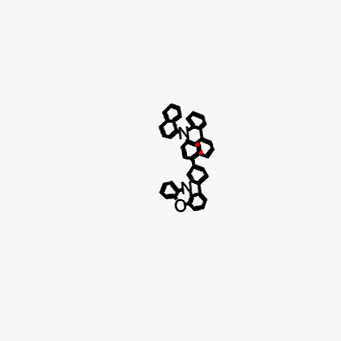 c1ccc(-c2ccccc2N(c2ccc(-c3ccc4c5cccc6c5n(c4c3)-c3ccccc3O6)cc2)c2cccc3ccccc23)cc1